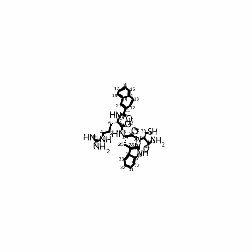 N=C(N)NCCC[C@H](NC(=O)c1ccc2ccccc2c1)C(=O)N[C@@H](Cc1c[nH]c2ccccc12)C(=O)N[C@@H](CS)C(N)=O